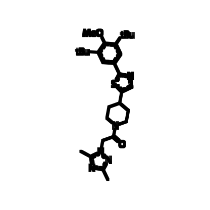 COc1c(C(C)(C)C)cc(-c2ncc(C3CCN(C(=O)Cn4nc(C)nc4C)CC3)s2)cc1C(C)(C)C